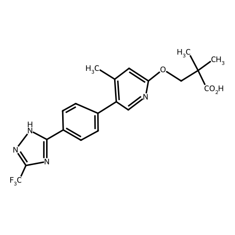 Cc1cc(OCC(C)(C)C(=O)O)ncc1-c1ccc(-c2nc(C(F)(F)F)n[nH]2)cc1